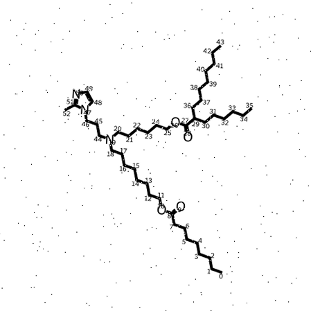 CCCCCCCCC(=O)OCCCCCCCCN(CCCCCCOC(=O)C(CCCCCC)CCCCCCCC)CCCn1ccnc1C